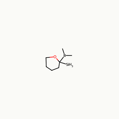 CB(C)C1([SiH3])CCCCO1